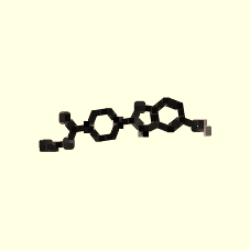 CC(C)(C)OC(=O)N1CCN(c2nc3cc(C(F)(F)F)ccc3o2)CC1